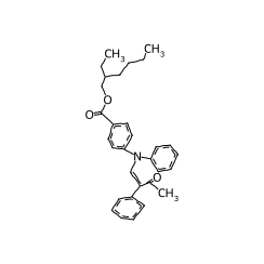 CCCCC(CC)COC(=O)c1ccc(N(/C=C(\C(C)=O)c2ccccc2)c2ccccc2)cc1